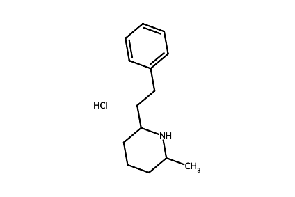 CC1CCCC(CCc2ccccc2)N1.Cl